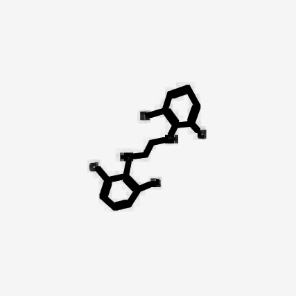 CCc1cccc(Cl)c1NCCNc1c(Cl)cccc1CC